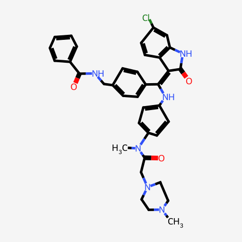 CN1CCN(CC(=O)N(C)c2ccc(N/C(=C3\C(=O)Nc4cc(Cl)ccc43)c3ccc(CNC(=O)c4ccccc4)cc3)cc2)CC1